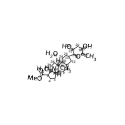 COC(=O)C1CC[C@@]2(N)[C@@H]3CCC4CC(C5O[C@@H](C)[C@H](O)C[C@H]5O)CC[C@]4(C)[C@H]3CC[C@]12C.O